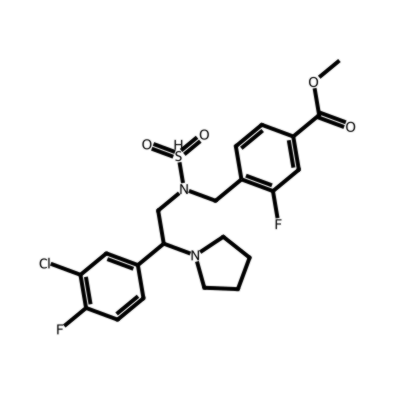 COC(=O)c1ccc(CN(CC(c2ccc(F)c(Cl)c2)N2CCCC2)[SH](=O)=O)c(F)c1